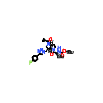 CC(C)(C)OC(=O)N[C@H](C(=O)N1CC[C@@H]2[C@H]1[C@@H](Cn1cc(-c3ccc(F)cc3)nn1)CN2C(=O)C1CC1)C(C)(C)C